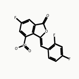 O=C1OC(=Cc2ccc(F)cc2F)c2c1cc(F)cc2[N+](=O)[O-]